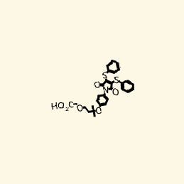 CC(C)(CCOCC(=O)O)Oc1ccc(N2C(=O)C(Sc3ccccc3)=C(Sc3ccccc3)C2=O)cc1